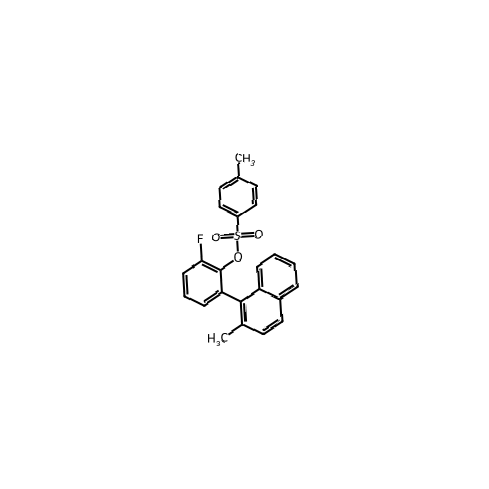 Cc1ccc(S(=O)(=O)Oc2c(F)cccc2-c2c(C)ccc3ccccc23)cc1